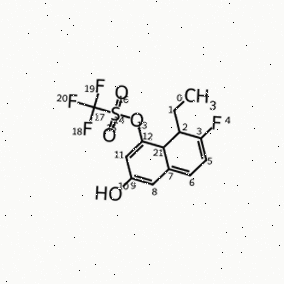 CCC1C(F)=CC=C2C=C(O)C=C(OS(=O)(=O)C(F)(F)F)C21